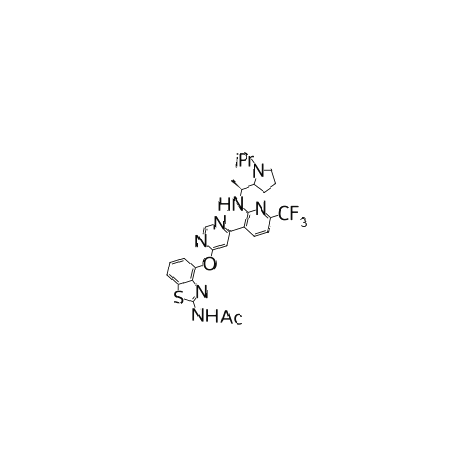 CC(=O)Nc1nc2c(Oc3cc(-c4ccc(C(F)(F)F)nc4N[C@@H](C)C4CCCN4C(C)C)ncn3)cccc2s1